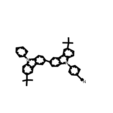 CC(C)(C)c1ccc2c(c1)c1cc(-c3ccc4c(c3)c3cc(C(C)(C)C)ccc3n4-c3ccc(C#N)cc3)ccc1n2-c1ccccc1